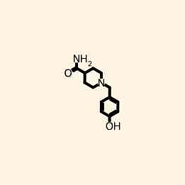 NC(=O)C1CCN(Cc2ccc(O)cc2)CC1